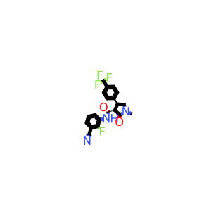 CN1C[C@H](c2ccc(C(F)(F)F)cc2)[C@@H](C(=O)Nc2cccc(C#N)c2F)C1=O